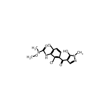 CON(C)C(=O)Nc1c(Cl)ccc(C(=O)c2cnn(C)c2O)c1Cl